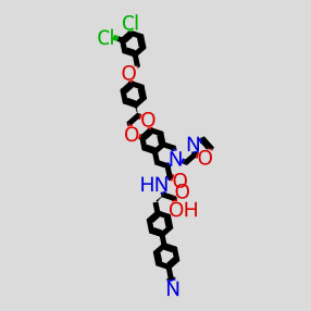 N#Cc1ccc(-c2ccc(C[C@H](NC(=O)C3Cc4cc5c(cc4CN3Cc3ncco3)O[C@@H](c3ccc(OCc4ccc(Cl)c(Cl)c4)cc3)CO5)C(=O)O)cc2)cc1